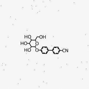 N#Cc1ccc(-c2ccc(OC3OC(CO)C(O)C(O)C3O)cc2)cc1